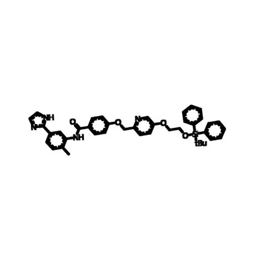 Cc1ccc(-c2ncc[nH]2)cc1NC(=O)c1ccc(OCc2ccc(OCCO[Si](c3ccccc3)(c3ccccc3)C(C)(C)C)cn2)cc1